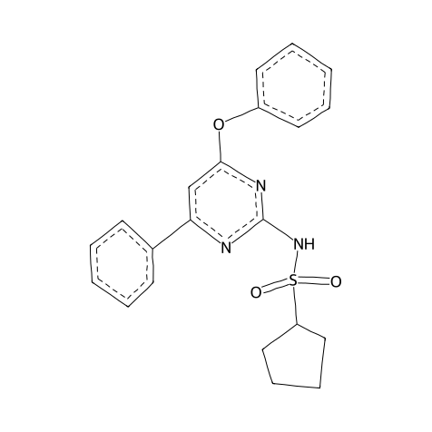 O=S(=O)(Nc1nc(Oc2ccccc2)cc(-c2ccccc2)n1)C1CCCC1